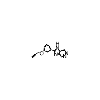 C#CCOc1cccc(-c2nc3cnncc3[nH]2)c1